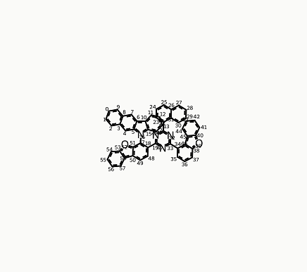 c1ccc2cc3c(cc2c1)c1ccccc1n3-c1c(-c2nc(-c3cccc4ccccc34)nc(-c3cccc4oc5ccccc5c34)n2)ccc2c1oc1ccccc12